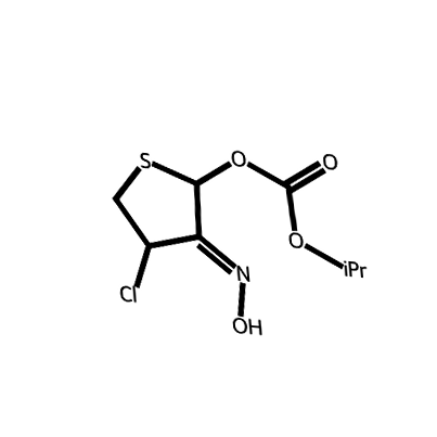 CC(C)OC(=O)OC1SCC(Cl)C1=NO